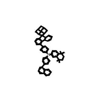 CC1(C)CCC(C)(C)c2cc(N(c3ccc(-c4cccc5c4C4C=CC=CC4C54C5CC6CC7CC4C75C6)cc3)c3ccc(-c4cccc5ccccc45)cc3)ccc21